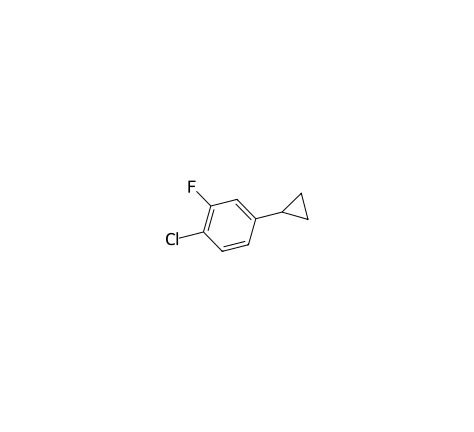 Fc1cc(C2CC2)ccc1Cl